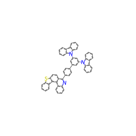 c1ccc2c(c1)nc(-c1ccc(-c3cc(-n4c5ccccc5c5ccccc54)cc(-n4c5ccccc5c5ccccc54)c3)cc1)c1ccc3sc4ccccc4c3c12